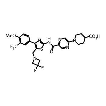 COc1ccc(-c2nc(NC(=O)c3cnc(N4CCC(C(=O)O)CC4)cn3)sc2CN2CC(F)(F)C2)cc1C(F)(F)F